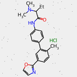 CCC(C(=O)Nc1ccc(-c2cc(-c3ncco3)ccc2C)cc1)N(C)C.Cl